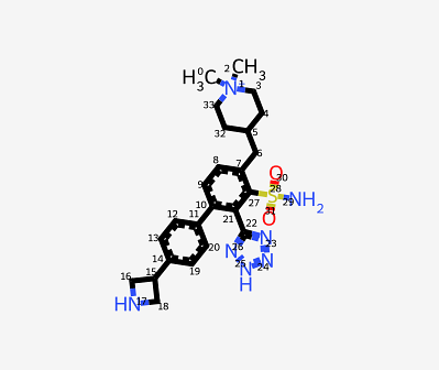 C[N+]1(C)CCC(Cc2ccc(-c3ccc(C4CNC4)cc3)c(-c3nn[nH]n3)c2S(N)(=O)=O)CC1